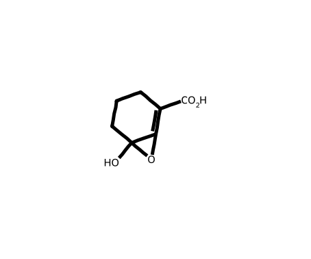 O=C(O)C1=C2OC2(O)CCC1